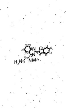 CNC(CCN)c1nc(-c2cc3ccccc3o2)nc2ccccc12